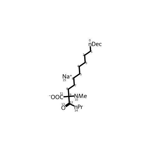 CCCCCCCCCCCCCCCCCCC(NC)(C(=O)[O-])C(=O)CCC.[Na+]